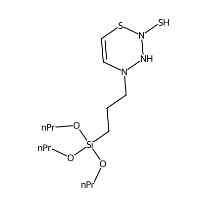 CCCO[Si](CCCn1ccsn(S)[nH]1)(OCCC)OCCC